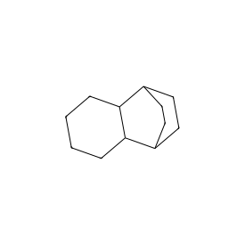 C1CCC2C3CCC(CC3)C2C1